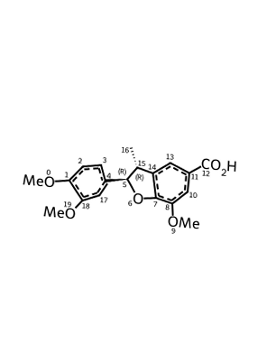 COc1ccc([C@@H]2Oc3c(OC)cc(C(=O)O)cc3[C@H]2C)cc1OC